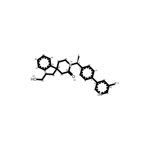 C[C@@H](c1ccc(-c2cncc(F)c2)cc1)N1CCC(CCCO)(c2ccccc2)CC1=O